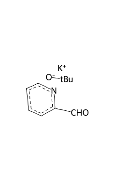 CC(C)(C)[O-].O=Cc1ccccn1.[K+]